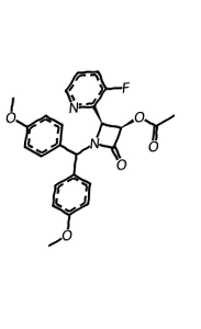 COc1ccc(C(c2ccc(OC)cc2)N2C(=O)[C@H](OC(C)=O)[C@@H]2c2ncccc2F)cc1